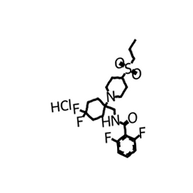 CCCS(=O)(=O)C1CCN(C2(CNC(=O)c3c(F)cccc3F)CCC(F)(F)CC2)CC1.Cl